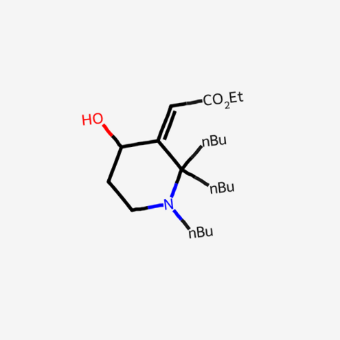 CCCCN1CCC(O)C(=CC(=O)OCC)C1(CCCC)CCCC